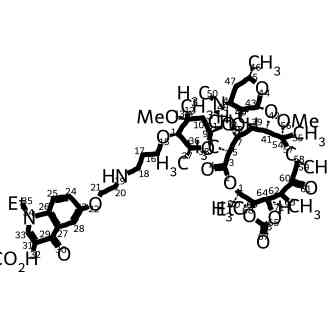 CC[C@@H]1OC(=O)[C@H](C)[C@H](O[C@@H]2C[C@](C)(OC)[C@H](OCCCNCCOc3ccc4c(c3)c(=O)c(C(=O)O)cn4CC)[C@H](C)O2)[C@@H](C)[C@H](O[C@H]2O[C@@H](C)C[C@@H](N(C)C)[C@H]2O)[C@](C)(OC)C[C@H](C)C(=O)C(C)[C@H]2OC(=O)O[C@@]12C